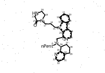 CCCCCN(Cc1nccc2c3ccccc3n(CCCN3CCNCC3=O)c12)[C@H]1CCCc2cccnc21